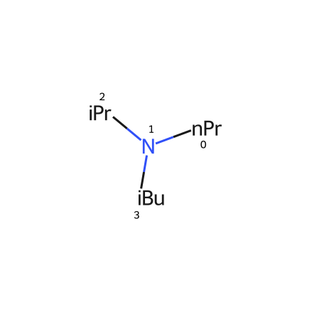 CCCN(C(C)C)C(C)CC